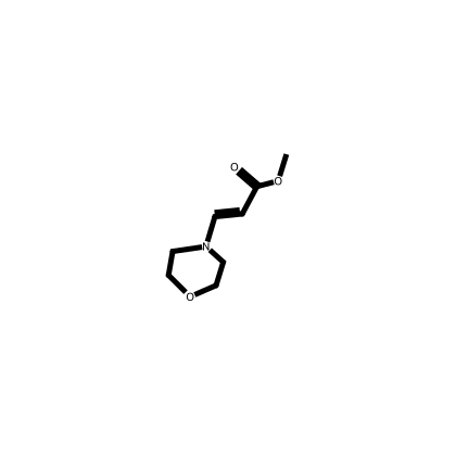 COC(=O)/C=C/N1CCOCC1